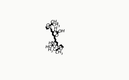 CC(C)C1OCCN1CCC(CCCCC(CCN1CCOC1C(C)C)NC(=O)O)NC(=O)O